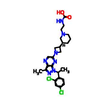 Cc1nn(C(C)c2ccc(Cl)cc2Cl)c2nc(N3CC([C@@H]4CCCN(CCNC(=O)O)C4)C3)cnc12